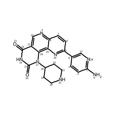 Nc1ccc(-c2ccc3ncc4c(=O)[nH]c(=O)n(C5CCNCC5)c4c3n2)cn1